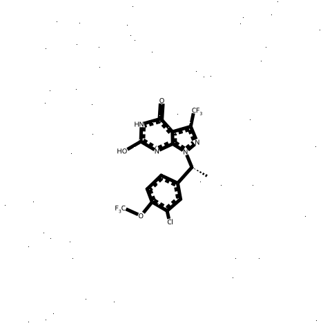 C[C@H](c1ccc(OC(F)(F)F)c(Cl)c1)n1nc(C(F)(F)F)c2c(=O)[nH]c(O)nc21